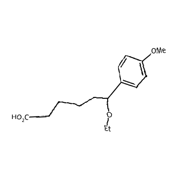 CCOC(CCCCC(=O)O)c1ccc(OC)cc1